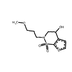 COCCCN1CC(O)c2ccsc2S1(=O)=O